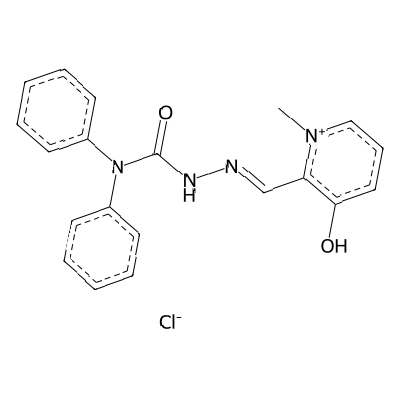 C[n+]1cccc(O)c1C=NNC(=O)N(c1ccccc1)c1ccccc1.[Cl-]